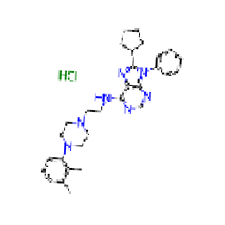 Cc1cccc(N2CCN(CCNc3ncnc4c3nc(C3CCCC3)n4-c3ccccc3)CC2)c1C.Cl